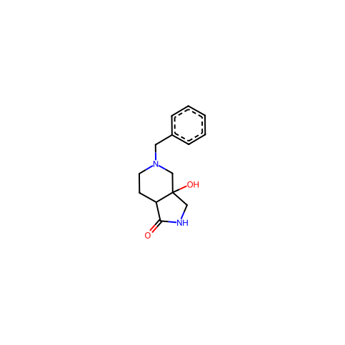 O=C1NCC2(O)CN(Cc3ccccc3)CCC12